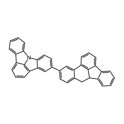 c1ccc2c(c1)-c1cccc3c1C2Cc1ccc(-c2ccc4c(c2)c2cccc5c6ccccc6n4c52)cc1-3